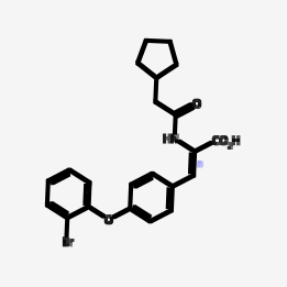 O=C(CC1CCCC1)N/C(=C\c1ccc(Oc2ccccc2Br)cc1)C(=O)O